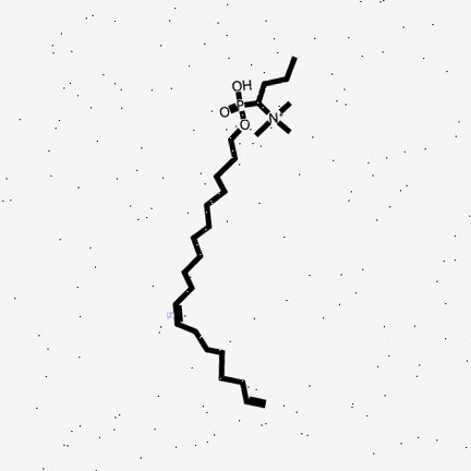 C=CCCCCC/C=C\CCCCCCCCCCOP(=O)(O)C(CCC)[N+](C)(C)C